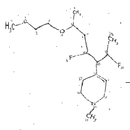 COCCOC(C)CC(F)C(C1=CCN(C)CC1)C(C)F